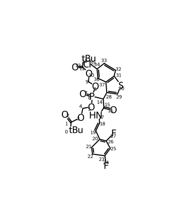 CC(C)(C)C(=O)OCOP(=O)(OCOC(=O)C(C)(C)C)C(C(=O)N/C=C/c1ccc(F)cc1F)c1csc2ccc(Cl)cc12